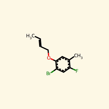 CC=CCOc1cc(C)c(F)cc1Br